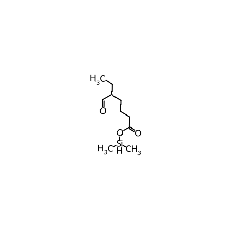 CCC(C=O)CCCC(=O)O[SiH](C)C